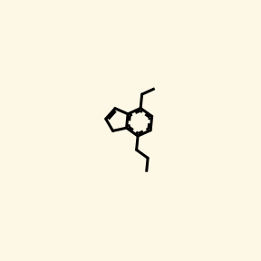 CCCc1ccc(CC)c2c1CC=C2